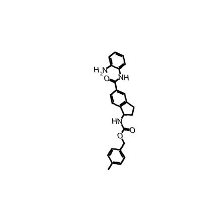 Cc1ccc(COC(=O)NC2CCc3cc(C(=O)Nc4ccccc4N)ccc32)cc1